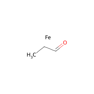 CCC=O.[Fe]